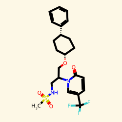 CS(=O)(=O)NCC(CO[C@H]1CC[C@@H](c2ccccc2)CC1)n1cc(C(F)(F)F)ccc1=O